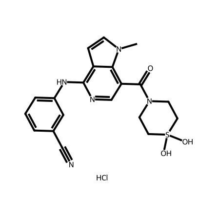 Cl.Cn1ccc2c(Nc3cccc(C#N)c3)ncc(C(=O)N3CCS(O)(O)CC3)c21